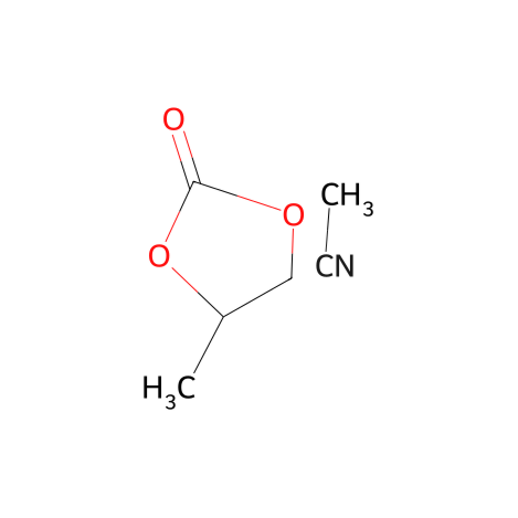 CC#N.CC1COC(=O)O1